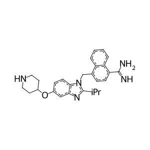 CC(C)c1nc2cc(OC3CCNCC3)ccc2n1Cc1ccc(C(=N)N)c2ccccc12